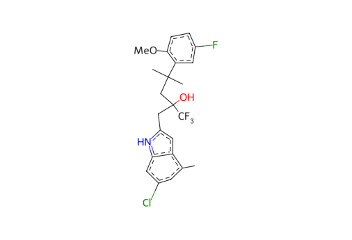 COc1ccc(F)cc1C(C)(C)CC(O)(Cc1cc2c(C)cc(Cl)cc2[nH]1)C(F)(F)F